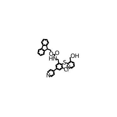 O=C(NCc1cc(-c2ccncc2)cc(Cl)c1Sc1ncccc1CO)OCC1c2ccccc2-c2ccccc21